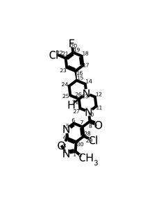 Cc1noc2ncc(C(=O)N3CCN4C[C@H](c5ccc(F)c(Cl)c5)CC[C@H]4C3)c(Cl)c12